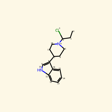 CCC(Cl)N1CCC(c2c[nH]c3ccccc23)CC1